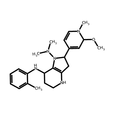 COC1C=C(C2CC3=C(C(Nc4ccccc4C)CCN3)N2N(C)C)C=CN1C